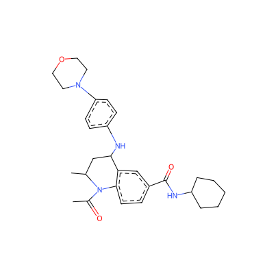 CC(=O)N1c2ccc(C(=O)NC3CCCCC3)cc2C(Nc2ccc(N3CCOCC3)cc2)CC1C